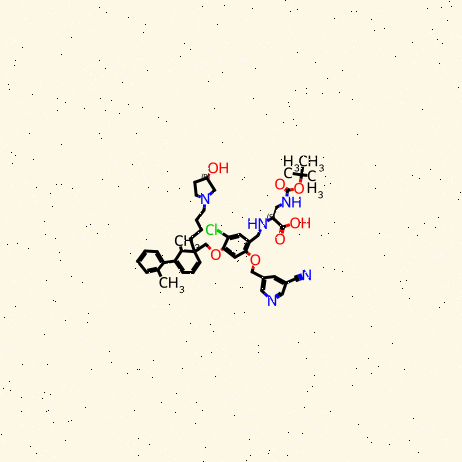 Cc1ccccc1C1=CC=CC(CCCCN2CC[C@@H](O)C2)(COc2cc(OCc3cncc(C#N)c3)c(CN[C@@H](CNC(=O)OC(C)(C)C)C(=O)O)cc2Cl)C1C